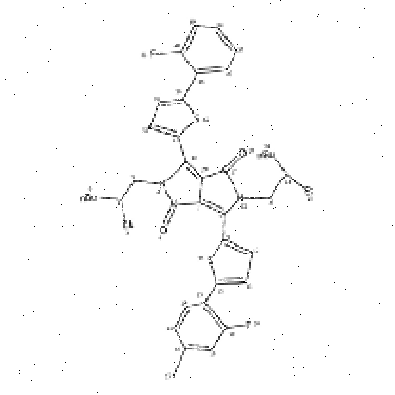 CCCCC(CC)CN1C(=O)C2=C(c3ccc(-c4ccc(C)cc4F)s3)N(CC(CC)CCCC)C(=O)C2=C1c1ccc(-c2ccccc2F)s1